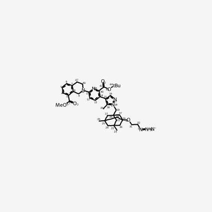 COC(=O)c1cccc2c1CN(c1ccc(-c3cnn(CC45CC6(C)CC(C)(C4)CC(OCCN=[N+]=[N-])(C6)C5)c3C)c(C(=O)OC(C)(C)C)n1)CC2